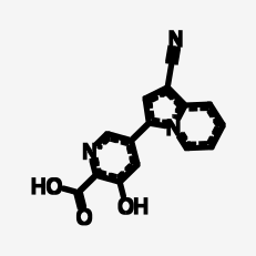 N#Cc1cc(-c2cnc(C(=O)O)c(O)c2)n2ccccc12